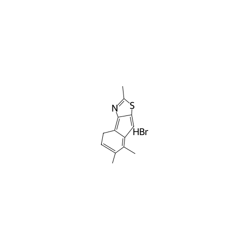 Br.CC1=CCC2=c3nc(C)sc3=CC2=C1C